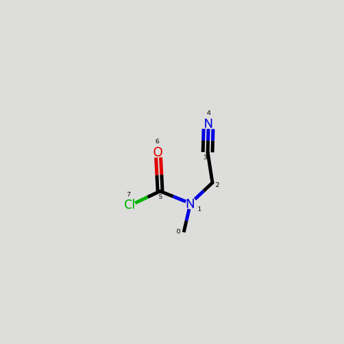 CN(CC#N)C(=O)Cl